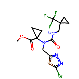 COC(=O)C1(N(Cc2nnc(Br)s2)C(=O)NCC2(C(F)(F)F)CC2)CC1